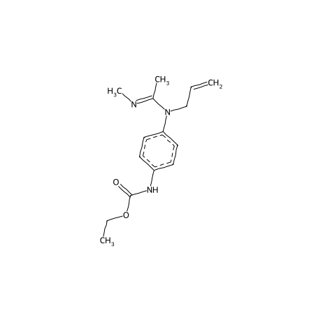 C=CCN(C(C)=NC)c1ccc(NC(=O)OCC)cc1